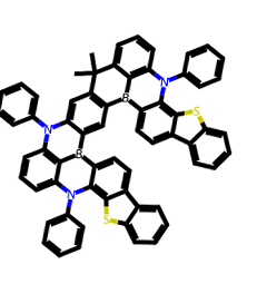 CC1(C)c2cc3c(cc2B2c4ccc5c(sc6ccccc65)c4N(c4ccccc4)c4cccc1c42)B1c2ccc4c(sc5ccccc54)c2N(c2ccccc2)c2cccc(c21)N3c1ccccc1